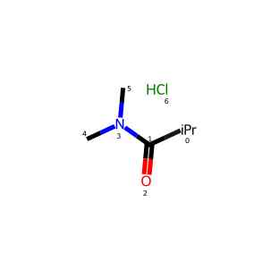 CC(C)C(=O)N(C)C.Cl